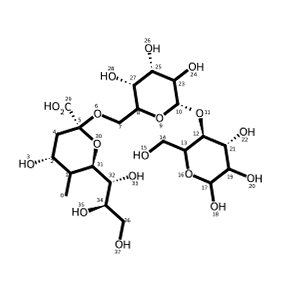 CC1[C@H](O)C[C@](OCC2O[C@@H](O[C@@H]3C(CO)OC(O)C(O)[C@H]3O)C(O)[C@@H](O)[C@H]2O)(C(=O)O)O[C@H]1[C@H](O)[C@H](O)CO